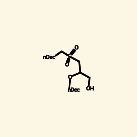 CCCCCCCCCCCS(=O)(=O)CC(CO)OCCCCCCCCCC